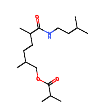 CC(C)CCNC(=O)C(C)CCC(C)COC(=O)C(C)C